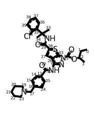 CCC(C)OC(=O)n1nc(NC(=O)c2ccc(CN3CCCCC3)cc2)c2cc(C(=O)NC(C)(C)c3ccccc3Cl)sc21